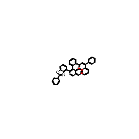 c1ccc(-c2nc3c(-c4ccc5ccccc5c4-c4ccccc4-c4cc(-c5ccccc5)c5ccccc5n4)cccc3o2)cc1